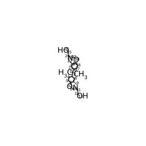 CC(C)(c1ccc2c(c1)CN(CCO)CO2)c1ccc2c(c1)CN(CCO)CO2